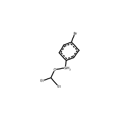 CCC(CC)O[SiH2]c1ccc(Br)cc1